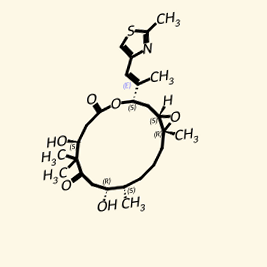 C/C(=C\c1csc(C)n1)[C@@H]1C[C@@H]2O[C@]2(C)CCC[C@H](C)[C@H](O)CC(=O)C(C)(C)[C@@H](O)CC(=O)O1